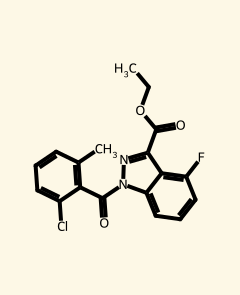 CCOC(=O)c1nn(C(=O)c2c(C)cccc2Cl)c2cccc(F)c12